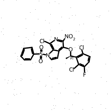 C[C@@H](Oc1c([N+](=O)[O-])nc(Cl)c2c1ccn2S(=O)(=O)c1ccccc1)c1c(Cl)ccc(F)c1Cl